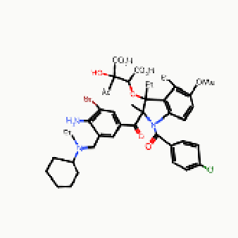 CCc1c(OC)ccc2c1C(CC)(OC(C(=O)O)C(O)(C(C)=O)C(=O)O)C(C)(C(=O)c1cc(Br)c(N)c(CN(CC)C3CCCCC3)c1)N2C(=O)c1ccc(Cl)cc1